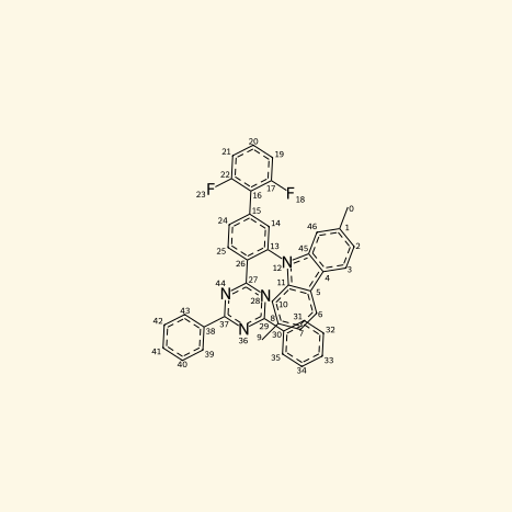 Cc1ccc2c3ccc(C)cc3n(-c3cc(-c4c(F)cccc4F)ccc3-c3nc(-c4ccccc4)nc(-c4ccccc4)n3)c2c1